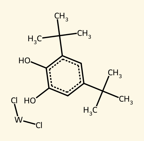 CC(C)(C)c1cc(O)c(O)c(C(C)(C)C)c1.[Cl][W][Cl]